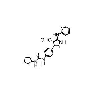 O=Cc1c(-c2ccc(NC(=O)NC3CCCC3)cc2)n[nH]c1Nc1ccccn1